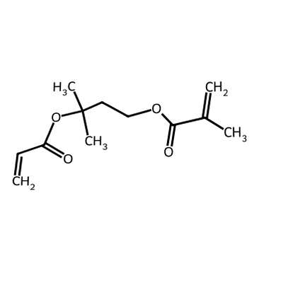 C=CC(=O)OC(C)(C)CCOC(=O)C(=C)C